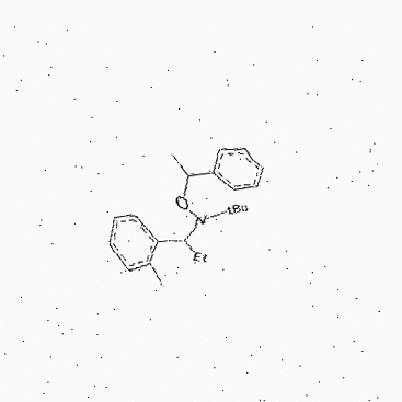 CCC(c1ccccc1C)N(OC(C)c1ccccc1)C(C)(C)C